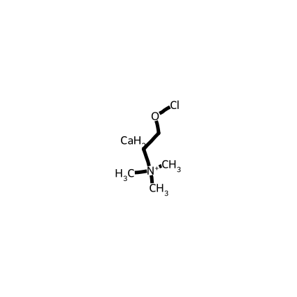 C[N+](C)(C)CCOCl.[CaH2]